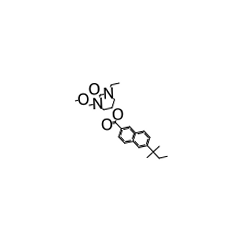 CCN1CC(OC(=O)c2ccc3cc(C(C)(C)CC)ccc3c2)CN(COC)C1=O